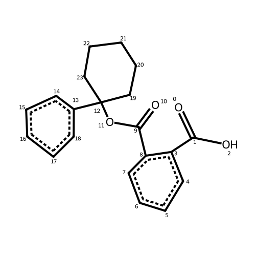 O=C(O)c1ccccc1C(=O)OC1(c2ccccc2)CCCCC1